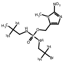 [2H]C([2H])(C)CNP(=O)(NCC([2H])([2H])Br)OCc1cnc([N+](=O)[O-])n1C